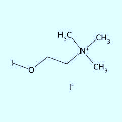 C[N+](C)(C)CCOI.[I-]